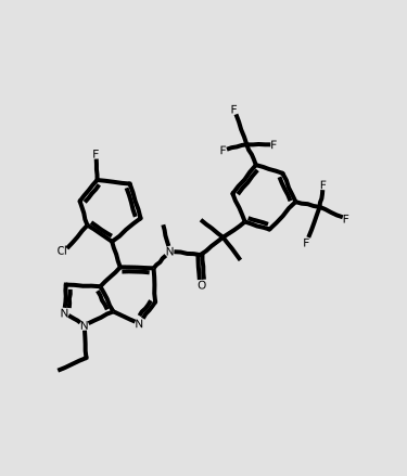 CCn1ncc2c(-c3ccc(F)cc3Cl)c(N(C)C(=O)C(C)(C)c3cc(C(F)(F)F)cc(C(F)(F)F)c3)cnc21